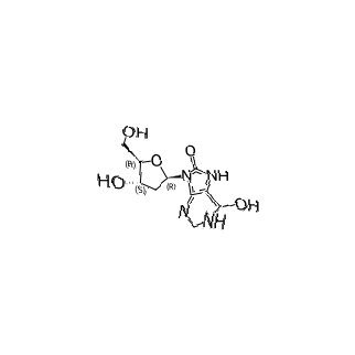 O=c1[nH]c2c(n1[C@H]1C[C@H](O)[C@@H](CO)O1)=NCNC=2O